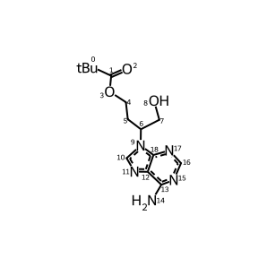 CC(C)(C)C(=O)OCCC(CO)n1cnc2c(N)ncnc21